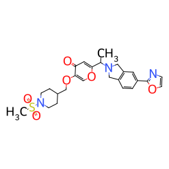 CC(c1cc(=O)c(OCC2CCN(S(C)(=O)=O)CC2)co1)N1Cc2ccc(-c3ncco3)cc2C1